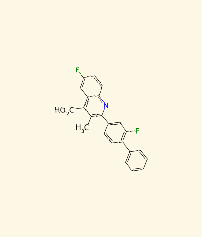 Cc1c(-c2ccc(-c3ccccc3)c(F)c2)nc2ccc(F)cc2c1C(=O)O